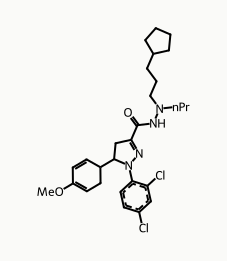 CCCN(CCCC1CCCC1)NC(=O)C1=NN(c2ccc(Cl)cc2Cl)C(C2C=CC(OC)=CC2)C1